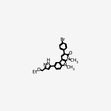 CCOCc1cc(-c2ccc3c(c2)c2cc(-c4ccc(Br)cc4)c(=O)n(C)c2n3C)[nH]n1